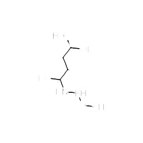 COBNC(C)CC[C@@H](C)O